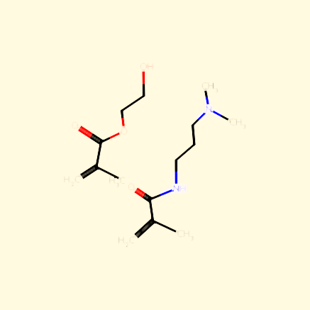 C=C(C)C(=O)NCCCN(C)C.C=C(C)C(=O)OCCO